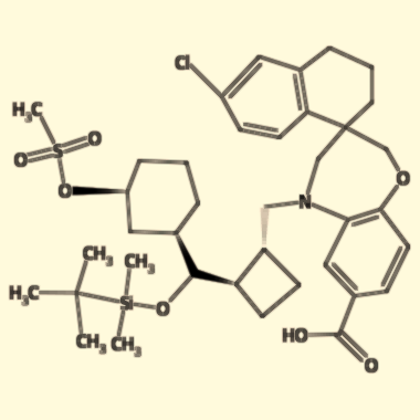 CC(C)(C)[Si](C)(C)OC([C@@H]1CCC[C@H](OS(C)(=O)=O)C1)[C@@H]1CC[C@H]1CN1CC2(CCCc3cc(Cl)ccc32)COc2ccc(C(=O)O)cc21